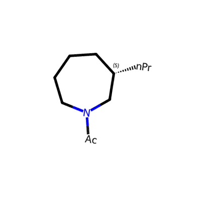 CCC[C@H]1CCCCN(C(C)=O)C1